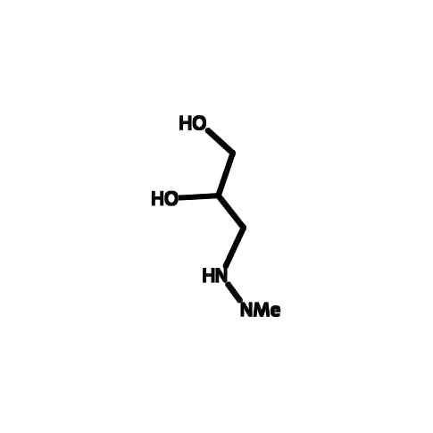 CNNCC(O)CO